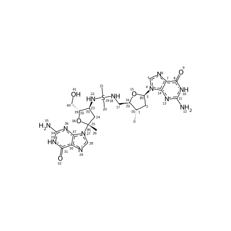 C[C@H]1C[C@H](n2cnc3c(=O)[nH]c(N)nc32)O[C@@H]1CNS(C)(C)N[C@H]1C[C@](C)(n2cnc3c(=O)[nH]c(N)nc32)O[C@@H]1CO